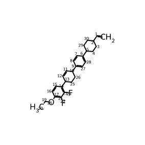 C=CC1CCC(c2ccc(C3C=CC(c4ccc(OCC)c(F)c4F)CC3)cc2)CC1